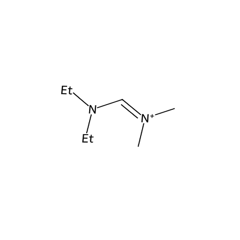 CCN(C=[N+](C)C)CC